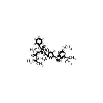 COc1nc(N(C)C)c2ncn([C@@H]3O[C@](C)(COP(=O)(N[C@@H](C)C(=O)OC(C)C)Oc4ccccc4)[C@@H](O)[C@H]3F)c2n1